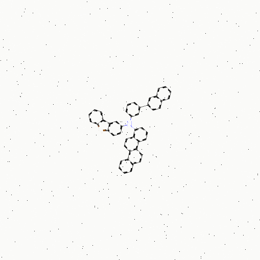 c1cc(-c2ccc3ccccc3c2)cc(N(c2ccc3sc4ccccc4c3c2)c2cccc3c2ccc2c4ccccc4ccc32)c1